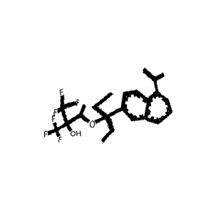 C=C(C)c1cccc2cc(C(CC)(CC)OC(C)C(O)(C(F)(F)F)C(F)(F)F)ccc12